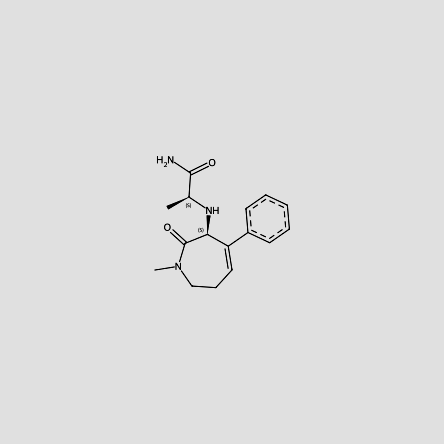 C[C@H](N[C@@H]1C(=O)N(C)CCC=C1c1ccccc1)C(N)=O